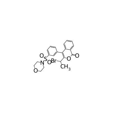 CC(Br)c1oc(=O)c2ccccc2c1-c1cccc(S(=O)(=O)N2CCOCC2)c1